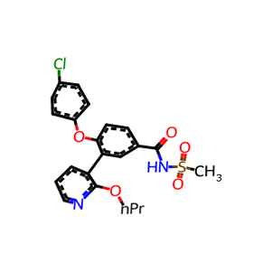 CCCOc1ncccc1-c1cc(C(=O)NS(C)(=O)=O)ccc1Oc1ccc(Cl)cc1